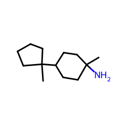 CC1(N)CCC(C2(C)CCCC2)CC1